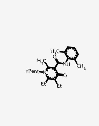 CCCCCn1c(C)c(C(=O)Nc2c(C)cccc2C)c(=O)c(CC)c1CC